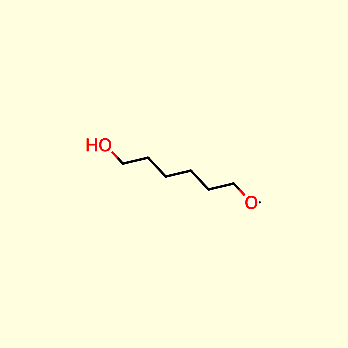 [O]CCCCCCO